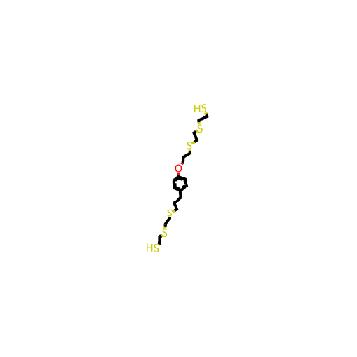 SCCSCCSCCCOc1ccc(CCCSCCSCCS)cc1